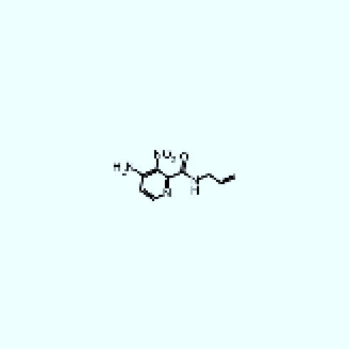 C=CCNC(=O)c1nccc(N)c1[N+](=O)[O-]